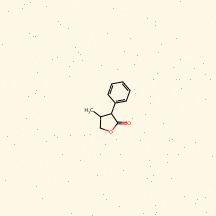 CC1COC(=O)C1c1ccccc1